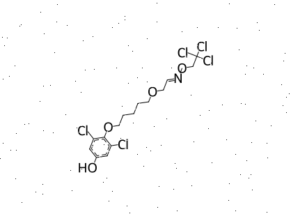 Oc1cc(Cl)c(OCCCCCOCC=NOCC(Cl)(Cl)Cl)c(Cl)c1